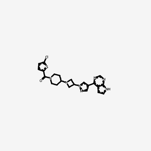 O=C(c1ccc(Cl)s1)N1CCC(N2CC(n3cc(-c4ncnc5[nH]ccc45)cn3)C2)CC1